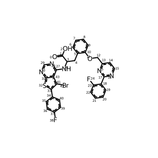 O=C(O)C(Cc1ccccc1OCc1ccnc(-c2ccccc2F)n1)Nc1ncnc2sc(-c3ccc(F)cc3)c(Br)c12